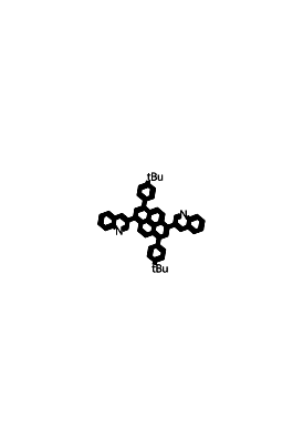 CC(C)(C)c1ccc(-c2cc(-c3cnc4ccccc4c3)c3ccc4c(-c5ccc(C(C)(C)C)cc5)cc(-c5cnc6ccccc6c5)c5ccc2c3c45)cc1